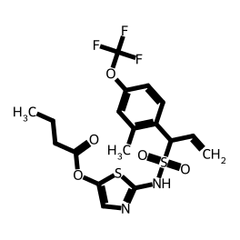 C=CC(c1ccc(OC(F)(F)F)cc1C)S(=O)(=O)Nc1ncc(OC(=O)CCC)s1